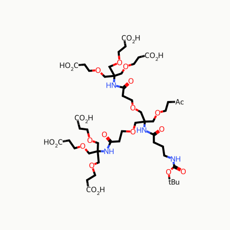 CC(=O)CCOCC(COCCC(=O)NC(COCCC(=O)O)(COCCC(=O)O)COCCC(=O)O)(COCCC(=O)NC(COCCC(=O)O)(COCCC(=O)O)COCCC(=O)O)NC(=O)CCCNC(=O)OC(C)(C)C